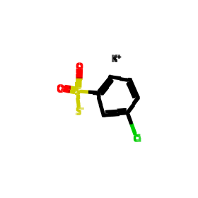 O=S(=O)([S-])c1cccc(Cl)c1.[K+]